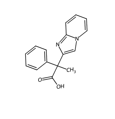 CC(C(=O)O)(c1ccccc1)c1cn2ccccc2n1